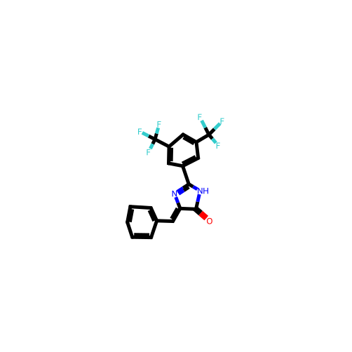 O=C1NC(c2cc(C(F)(F)F)cc(C(F)(F)F)c2)=NC1=Cc1ccccc1